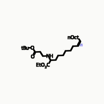 CCCCCCCC/C=C\CCCCCCC(NCCC(=O)OC(C)(C)C)C(=O)OCC